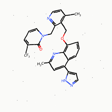 Cc1cc(-c2ccn[nH]2)c2cccc(OCc3c(C)ccnc3Cn3cccc(C(F)(F)F)c3=O)c2n1